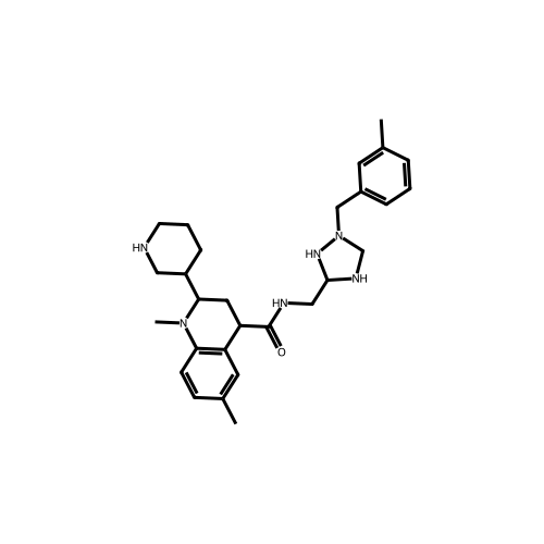 Cc1cccc(CN2CNC(CNC(=O)C3CC(C4CCCNC4)N(C)c4ccc(C)cc43)N2)c1